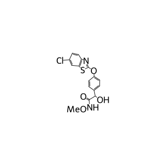 CONC(=O)C(O)c1ccc(Oc2nc3ccc(Cl)cc3s2)cc1